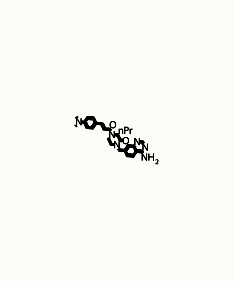 CCC[C@H]1C(=O)N(Cc2ccc3c(N)ncnc3c2)CCN1C(=O)C=Cc1ccc(N(C)C)cc1